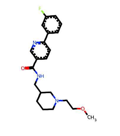 COCCN1CCCC(CNC(=O)c2ccc(-c3cccc(F)c3)nc2)C1